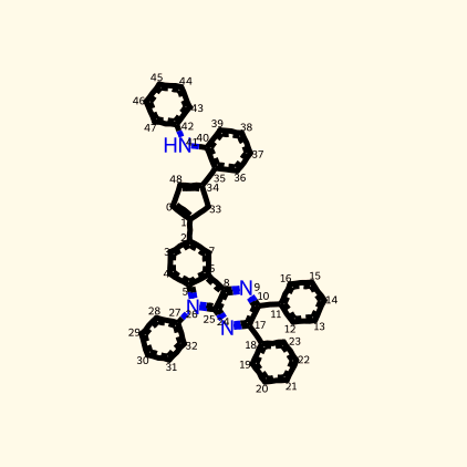 C1=C(c2ccc3c(c2)c2nc(-c4ccccc4)c(-c4ccccc4)nc2n3-c2ccccc2)CC(c2ccccc2Nc2ccccc2)=C1